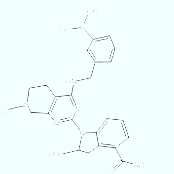 CC1Cc2c(C(N)=O)cccc2N1c1nc2c(c(NCc3cccc(B(O)O)c3)n1)CCN(C)C2